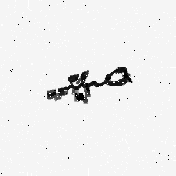 CC(C)[C@@H](N)C(=O)NCCc1cccnc1